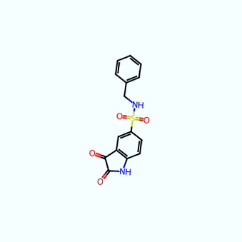 O=C1Nc2ccc(S(=O)(=O)NCc3ccccc3)cc2C1=O